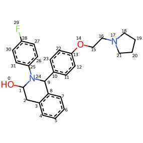 OC1Cc2ccccc2C(c2ccc(OCCN3CCCC3)cc2)N1c1ccc(F)cc1